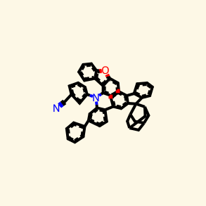 N#Cc1cccc(N(c2cc(-c3ccccc3)ccc2-c2ccc3c(c2)C2(c4ccccc4-3)C3CC4CC(C3)CC2C4)c2cccc3oc4ccccc4c23)c1